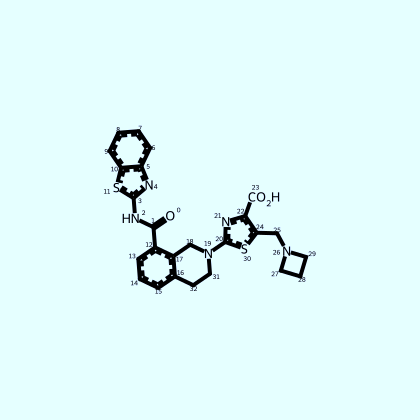 O=C(Nc1nc2ccccc2s1)c1cccc2c1CN(c1nc(C(=O)O)c(CN3CCC3)s1)CC2